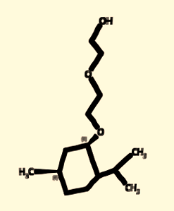 CC(C)C1CC[C@@H](C)C[C@H]1OCCOCCO